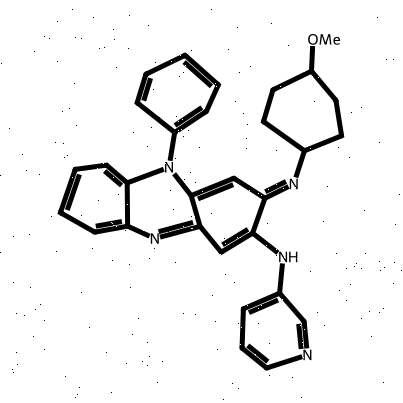 COC1CCC(/N=c2\cc3n(-c4ccccc4)c4ccccc4nc-3cc2Nc2cccnc2)CC1